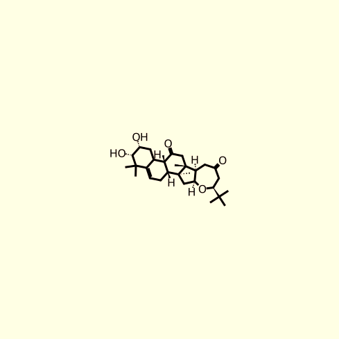 CC(C)(C)[C@@H]1CC(=O)C[C@H]2[C@H](C[C@@]3(C)[C@@H]4CC=C5[C@@H](C[C@@H](O)[C@@H](O)C5(C)C)[C@]4(C)C(=O)C[C@]23C)O1